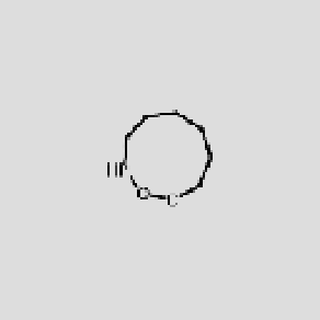 C1CCCPOOCC1